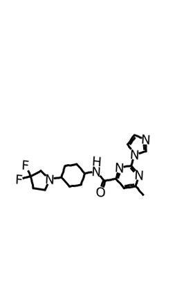 Cc1cc(C(=O)NC2CCC(N3CCC(F)(F)C3)CC2)nc(-n2ccnc2)n1